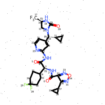 O=C(N[C@H](C(=O)Nc1cc([C@@H](C2CC2)N2C[C@@H](C(F)(F)F)NC2=O)ccn1)C1CCC(F)(F)CC1)c1nonc1C1CC1